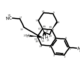 CC(=O)c1ccc2c(c1)[C@@]13CCCC[C@H]1[C@@H](C2)N(CCC#N)CC3